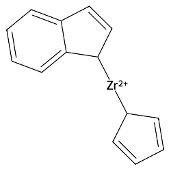 C1=C[CH]([Zr+2][CH]2C=Cc3ccccc32)C=C1